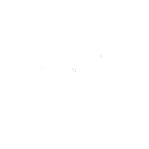 O=Cc1cccc(CO)[n+]1[O-]